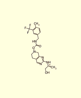 Cc1ccc(CNC(=O)ON2CCc3cnc(N[C@@H](C)CO)nc3C2)cc1C(F)(F)F